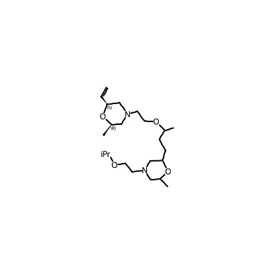 C=C[C@H]1CN(CCOC(C)CCC2CN(CCOC(C)C)CC(C)O2)C[C@@H](C)O1